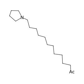 CC(=O)CCCCCCCCCCCN1CCCC1